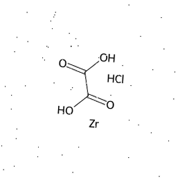 Cl.O=C(O)C(=O)O.[Zr]